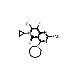 CSc1nc(N2CCCCCC2)c2c(=O)n(C3CC3)c(Cl)c(F)c2n1